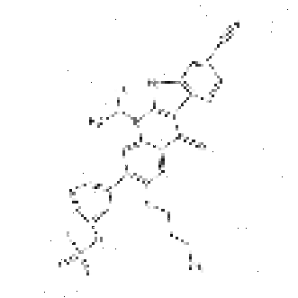 CCCCOc1cc2c(=O)c3c4ccc(C#N)cc4[nH]c3n(C(C)C)c2cc1-c1cccc(OS(=O)(=O)F)c1